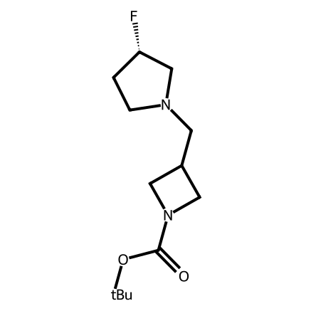 CC(C)(C)OC(=O)N1CC(CN2CC[C@H](F)C2)C1